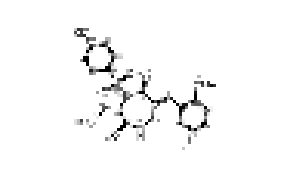 COc1ccc(F)cc1/C=C1\CNC(=O)[C@@H](CC(=O)O)N(S(=O)(=O)c2ccc(Cl)cc2)C1=O